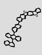 c1ccc2c(-c3c4ccccc4c(-c4ccc5cc(-c6ccc7cc8sc9cc%10c(cc9c8cc7c6)sc6ccccc6%10)ccc5c4)c4ccccc34)cccc2c1